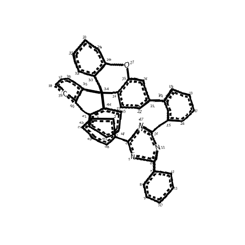 c1ccc(-c2nc(-c3ccccc3)nc(-c3ccccc3-c3ccc4c(c3)Oc3ccccc3C43c4ccccc4-c4ccccc43)n2)cc1